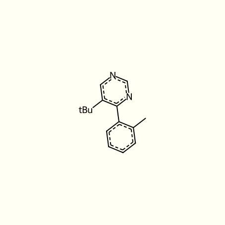 Cc1ccccc1-c1ncncc1C(C)(C)C